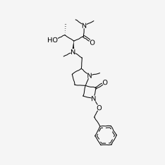 C[C@@H](O)[C@@H](C(=O)N(C)C)N(C)CC1CCC2(CN(OCc3ccccc3)C2=O)N1C